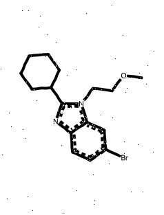 COCCn1c(C2CCCCC2)nc2ccc(Br)cc21